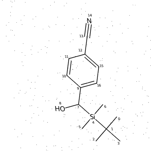 CC(C)(C)[Si](C)(C)C(O)c1ccc(C#N)cc1